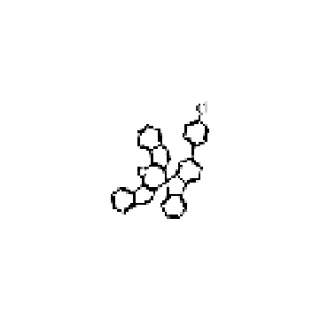 Clc1ccc(-c2ccc3c(c2)C2(c4ccccc4-3)c3ccc4ccccc4c3Oc3c2ccc2ccccc32)cc1